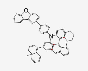 CC12C=CC=CC1=C(c1cccc(N(c3ccc(-c4ccc5oc6ccccc6c5c4)cc3)c3ccccc3-c3cccc4cccc(C5CCCCC5)c34)c1)C=CC2